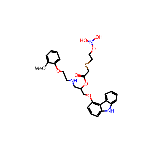 COc1ccccc1OCCNCC(COc1cccc2[nH]c3ccccc3c12)OC(=O)CSCCON(O)O